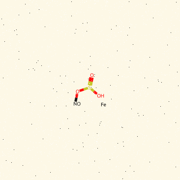 O=NOS(=O)O.[Fe]